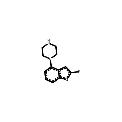 Fc1cc2c(N3CCNCC3)cccc2s1